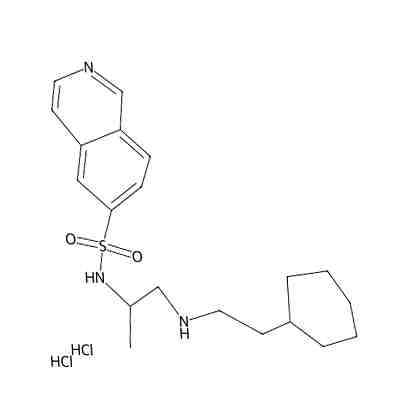 CC(CNCCC1CCCCC1)NS(=O)(=O)c1ccc2cnccc2c1.Cl.Cl